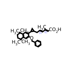 CC(/C=C/CC1CC1c1cc2c(cc1OCc1ccccc1)C(C)(C)CCC2(C)C)=C\C(=O)O